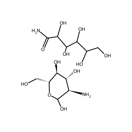 NC(=O)C(O)C(O)C(O)C(O)CO.N[C@H]1C(O)O[C@H](CO)[C@@H](O)[C@@H]1O